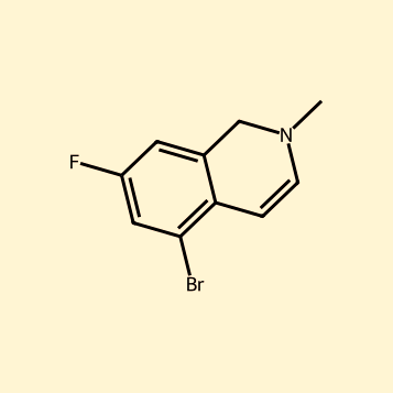 CN1C=Cc2c(Br)cc(F)cc2C1